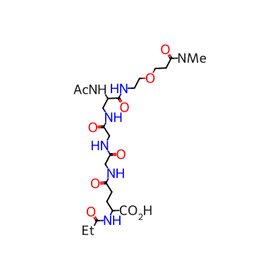 CCC(=O)NC(CCC(=O)NCC(=O)NCC(=O)NCC(NC(C)=O)C(=O)NCCOCCC(=O)NC)C(=O)O